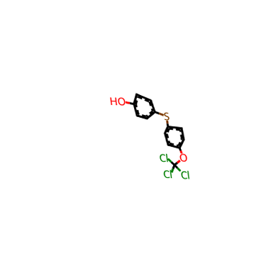 Oc1ccc(Sc2ccc(OC(Cl)(Cl)Cl)cc2)cc1